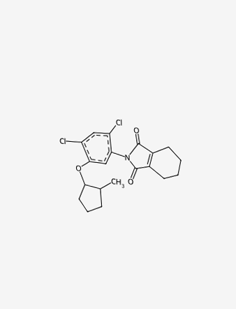 CC1CCCC1Oc1cc(N2C(=O)C3=C(CCCC3)C2=O)c(Cl)cc1Cl